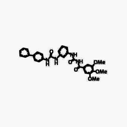 COc1cc(C(=O)NC(=O)Nc2cccc(NC(=O)Nc3ccc(-c4ccccc4)cc3)c2)cc(OC)c1OC